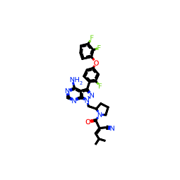 CC(C)C=C(C#N)C(=O)N1CCCC1Cn1nc(-c2ccc(Oc3cccc(F)c3F)cc2F)c2c(N)ncnc21